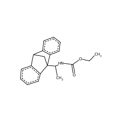 CCOC(=O)NC(C)C12CC(c3ccccc31)c1ccccc12